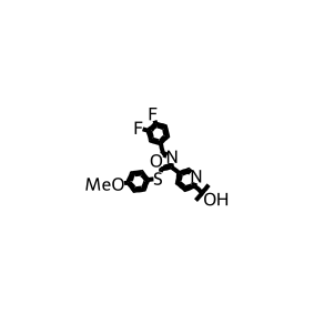 COc1ccc(Sc2oc(-c3ccc(F)c(F)c3)nc2-c2ccc(C(C)(C)O)nc2)cc1